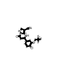 N#Cc1cnn2c(=O)cc(-c3ccc(Cl)c(OCC(F)(F)F)c3)[nH]c12